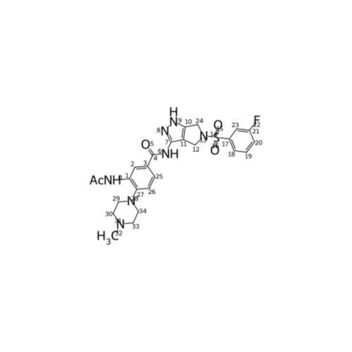 CC(=O)Nc1cc(C(=O)Nc2n[nH]c3c2CN(S(=O)(=O)c2cccc(F)c2)C3)ccc1N1CCN(C)CC1